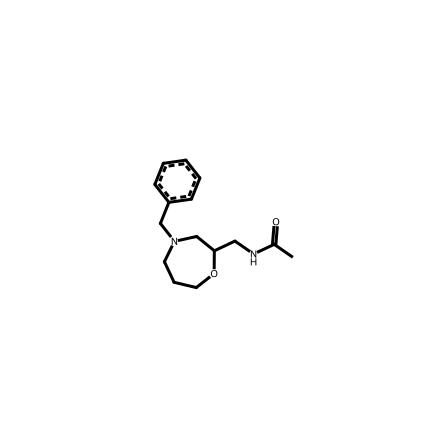 CC(=O)NCC1CN(Cc2ccccc2)CCCO1